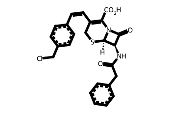 O=C(Cc1ccccc1)N[C@@H]1C(=O)N2C(C(=O)O)=C(/C=C\c3ccc(CCl)cc3)CS[C@H]12